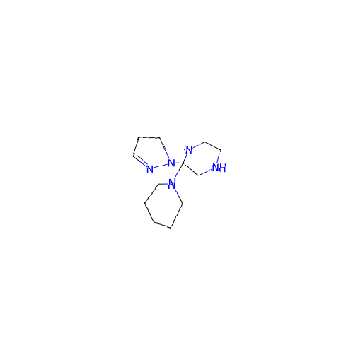 C1=NN(C2(N3CCCCC3)CNCC[N]2)CC1